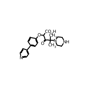 CC(C)(C(=O)C(Oc1ccc(-c2ccncc2)cc1)C(=O)O)N1CCNCC1